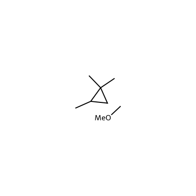 CC1CC1(C)C.COC